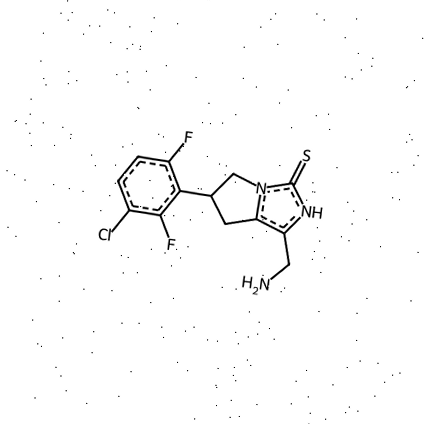 NCc1[nH]c(=S)n2c1CC(c1c(F)ccc(Cl)c1F)C2